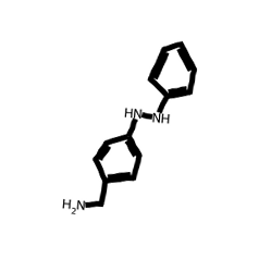 NCc1ccc(NNc2ccccc2)cc1